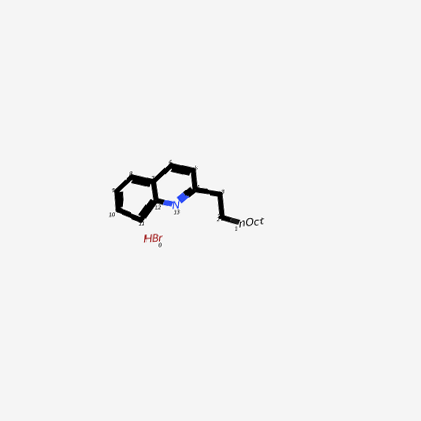 Br.CCCCCCCCCCc1ccc2ccccc2n1